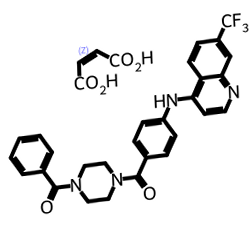 O=C(O)/C=C\C(=O)O.O=C(c1ccccc1)N1CCN(C(=O)c2ccc(Nc3ccnc4cc(C(F)(F)F)ccc34)cc2)CC1